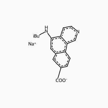 CCC(C)Nc1cc2cc(C(=O)[O-])ccc2c2cnccc12.[Na+]